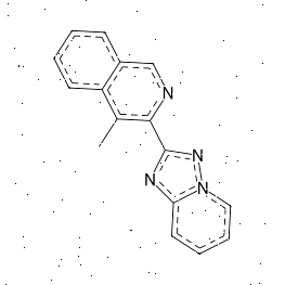 Cc1c(-c2nc3ccccn3n2)ncc2ccccc12